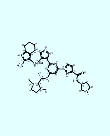 CCCCc1c(-c2nc(O[C@@H](C)[C@@H]3[C@@H](C)CCN3C)cc(-n3ccc(C(=O)N[C@H]4CCOC4)n3)n2)noc1[C@H]1CCCc2sc(N)c(C#N)c21